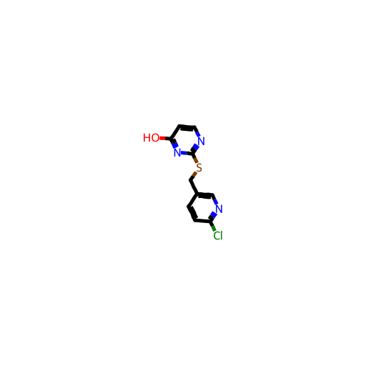 Oc1ccnc(SCc2ccc(Cl)nc2)n1